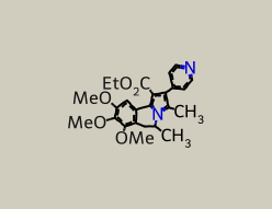 CCOC(=O)c1c(-c2ccncc2)c(C)n2c1-c1cc(OC)c(OC)c(OC)c1CC2C